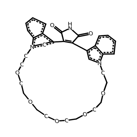 O=C1NC(=O)C2=C1c1cn(c3ccccc13)CCOCCOCCOCCOCCOCCn1cc2c2ccccc21